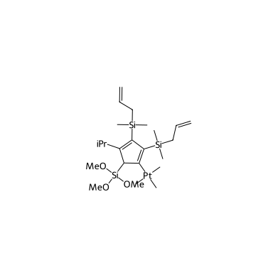 C=CC[Si](C)(C)C1=C(C(C)C)C([Si](OC)(OC)OC)[C]([Pt]([CH3])([CH3])[CH3])=C1[Si](C)(C)CC=C